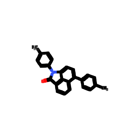 Cc1ccc(-c2ccc3c4c(cccc24)C(=O)N3c2ccc(C(F)(F)F)cc2)cc1